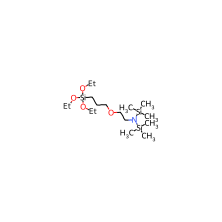 CCO[Si](CCCOCCN([Si](C)(C)C)[Si](C)(C)C)(OCC)OCC